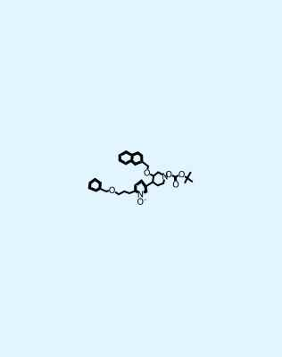 CC(C)(C)OC(=O)ON1CCC(c2ccc(CCCOCc3ccccc3)[n+]([O-])c2)C(OCc2ccc3ccccc3c2)C1